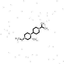 CSN1CCN(C2CCN(C(C)C)CC2)[C@H](C)C1